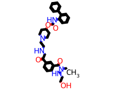 CCN(NCCO)C(=O)c1cccc(C(=O)CNCCN2CCC(OC(=O)Nc3ccccc3-c3ccccc3)CC2)c1